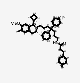 COc1cc2c(cc1C)CCN(CCCC(CCCNC(=O)CCc1ccc(F)cc1)(c1ccccc1)c1ccccc1)C2C1CCC1.Cl